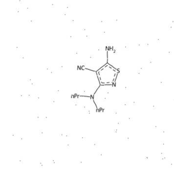 CCCN(CCC)c1nsc(N)c1C#N